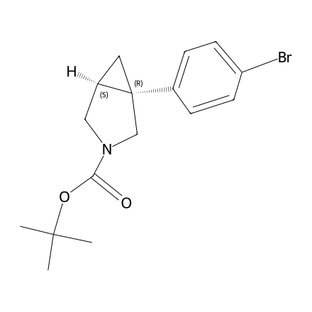 CC(C)(C)OC(=O)N1C[C@H]2C[C@@]2(c2ccc(Br)cc2)C1